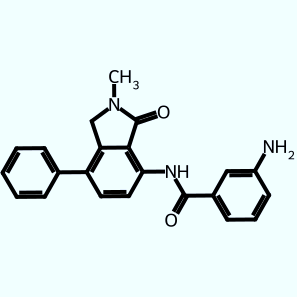 CN1Cc2c(-c3ccccc3)ccc(NC(=O)c3cccc(N)c3)c2C1=O